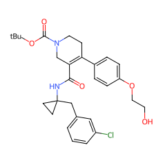 CC(C)(C)OC(=O)N1CCC(c2ccc(OCCO)cc2)=C(C(=O)NC2(Cc3cccc(Cl)c3)CC2)C1